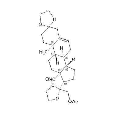 CC(=O)OCC1([C@H]2CC[C@H]3[C@@H]4CC=C5CC6(CC[C@]5(C)[C@H]4CC[C@]23C=O)OCCO6)OCCO1